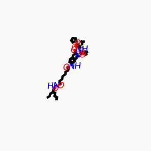 CCCCC(CCC)CONC(=O)CCCCCCC(=O)Nc1ccc2c(c1)CN(C(=O)OC(C)(C)C)[C@H](C(=O)N[C@@H](CC(C)C)C(=O)OC1CCCC1)C2